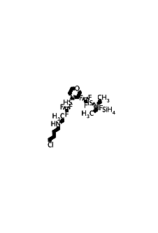 CCN(S)CC.CCNCCCCCl.F.FB(F)F.FB(F)F.SN1CCOCC1.[SiH4]